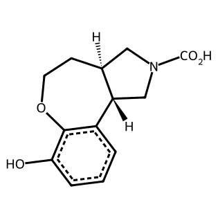 O=C(O)N1C[C@@H]2CCOc3c(O)cccc3[C@H]2C1